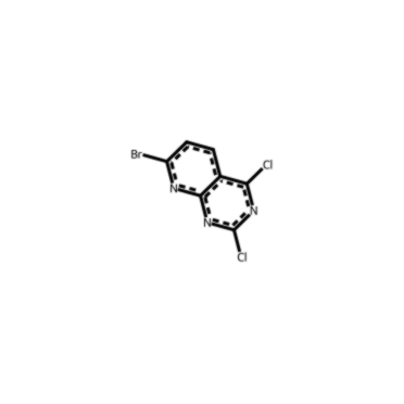 Clc1nc(Cl)c2ccc(Br)nc2n1